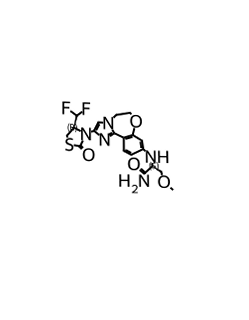 COC[C@H](Nc1ccc2c(c1)OCCn1cc(N3C(=O)SC[C@H]3C(F)F)nc1-2)C(N)=O